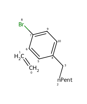 C=C.CCCCCCc1ccc(Br)cc1